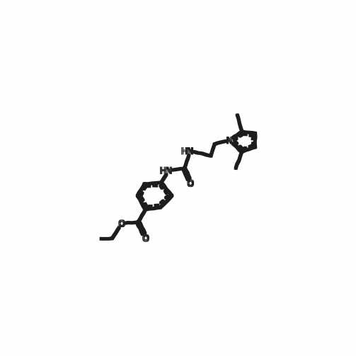 CCOC(=O)c1ccc(NC(=O)NCCn2c(C)ccc2C)cc1